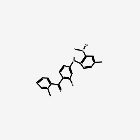 CC(=O)N(F)c1cc(F)ccc1Nc1ccc(C(=O)c2ccccc2C)c(Cl)c1